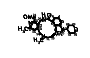 CCN(c1cccc2c1C/C=C\CN(C)Cc1cc(C)nc(OC)c1CNC2=O)C1CCOCC1